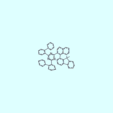 CC1(C)c2ccccc2-c2cccc(-c3c(-c4nc(-c5ccccc5-c5ccccc5)nc(-c5ccccc5-c5ccccc5)n4)ccc4ccccc34)c21